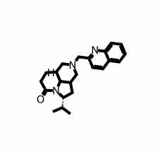 CC(C)[C@H]1CC2CN(Cc3ccc4ccccc4n3)C[C@H]3CCC(=O)N1C23